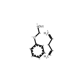 C=CCC=C.CCCCCCCCCOc1ccccc1